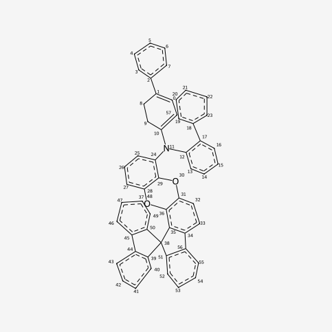 C1=C(c2ccccc2)CCC(N(c2ccccc2-c2ccccc2)c2cccc3c2Oc2ccc4c(c2O3)C2(c3ccccc3-c3ccccc32)c2ccccc2-4)=C1